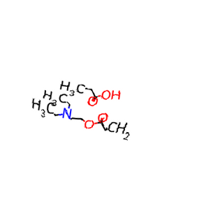 C=CC(=O)OCCN(CC)CC.CCC(=O)O